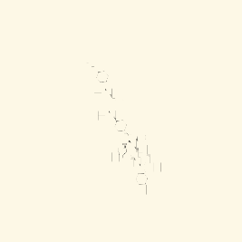 C[C@H](N(Cc1ccc(F)cc1)C(O)CN1C(=O)O[C@@]2(CCc3cc(NCCC(=O)NCc4ccc(C(=O)C5CCCCCC5)cc4)ccc32)C1=O)C(F)(F)F